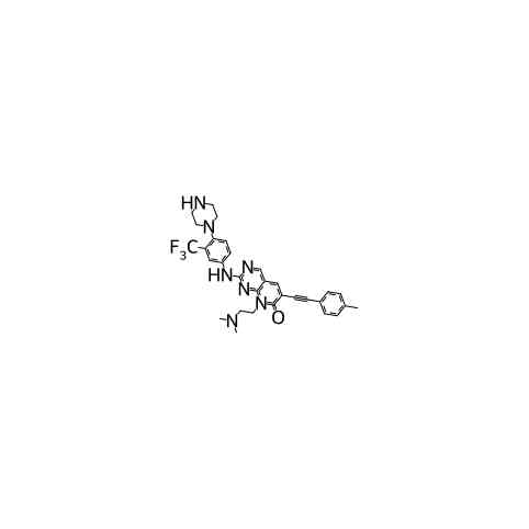 Cc1ccc(C#Cc2cc3cnc(Nc4ccc(N5CCNCC5)c(C(F)(F)F)c4)nc3n(CCN(C)C)c2=O)cc1